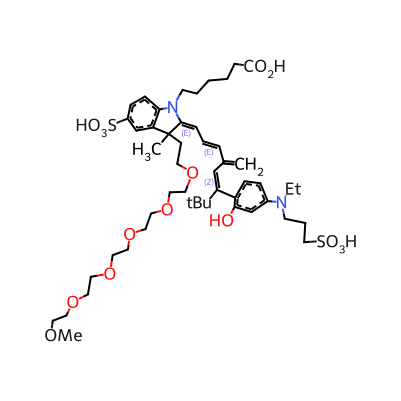 C=C(/C=C(\c1ccc(N(CC)CCCS(=O)(=O)O)cc1O)C(C)(C)C)/C=C/C=C1/N(CCCCCC(=O)O)c2ccc(S(=O)(=O)O)cc2C1(C)CCOCCOCCOCCOCCOCCOC